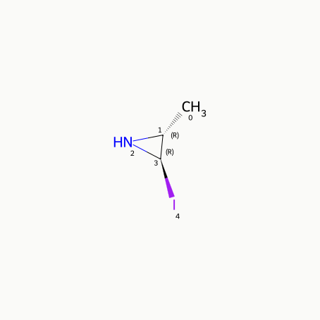 C[C@H]1N[C@@H]1I